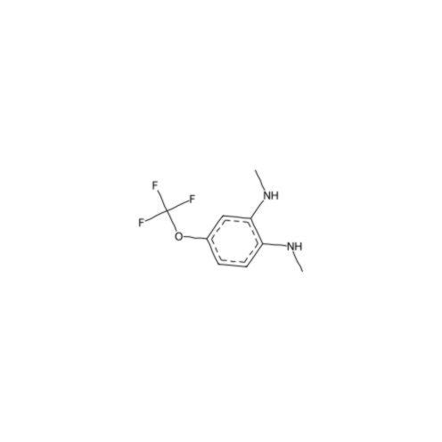 CNc1ccc(OC(F)(F)F)cc1NC